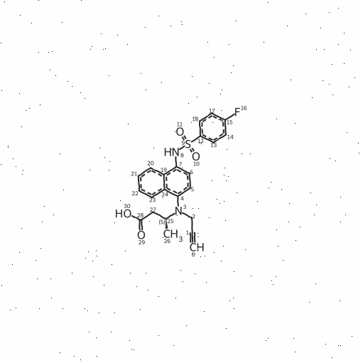 C#CCN(c1ccc(NS(=O)(=O)c2ccc(F)cc2)c2ccccc12)[C@@H](C)CC(=O)O